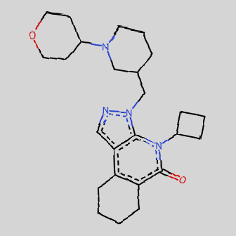 O=c1c2c(c3cnn(CC4CCCN(C5CCOCC5)C4)c3n1C1CCC1)CCCC2